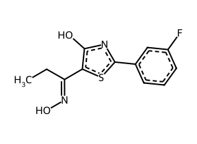 CCC(=NO)c1sc(-c2cccc(F)c2)nc1O